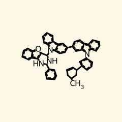 CC1CC=CC(c2cccc(-n3c4ccccc4c4ccc(-c5ccc6c(c5)c5ccccc5n6C5NC(c6ccccc6)Nc6c5oc5ccccc65)cc43)c2)C1